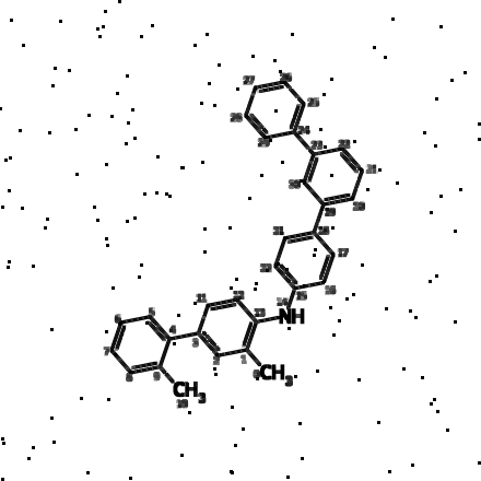 Cc1cc(-c2ccccc2C)ccc1Nc1ccc(-c2cccc(-c3ccccc3)c2)cc1